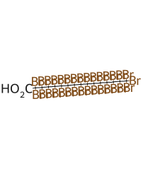 O=C(O)C(Br)(Br)C(Br)(Br)C(Br)(Br)C(Br)(Br)C(Br)(Br)C(Br)(Br)C(Br)(Br)C(Br)(Br)C(Br)(Br)C(Br)(Br)C(Br)(Br)C(Br)(Br)C(Br)(Br)C(Br)(Br)C(Br)(Br)Br